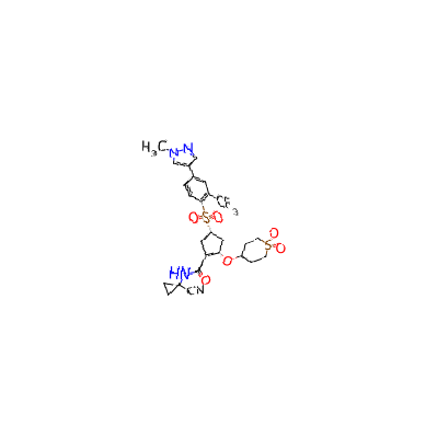 Cn1cc(-c2ccc(S(=O)(=O)[C@@H]3C[C@H](OC4CCS(=O)(=O)CC4)[C@@H](C(=O)NC4(C#N)CC4)C3)c(C(F)(F)F)c2)cn1